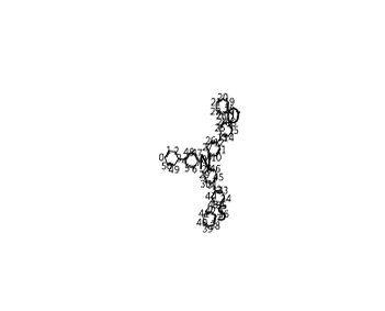 C1=CCC(c2ccc(N(c3ccc(-c4ccc5oc6ccccc6c5c4)cc3)c3ccc(-c4ccc5sc6ccccc6c5c4)cc3)cc2)C=C1